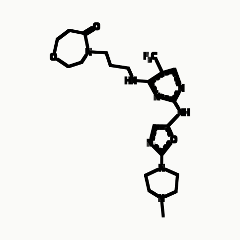 CN1CCN(c2ncc(Nc3ncc(C(F)(F)F)c(NCCCN4CCOCCC4=O)n3)o2)CC1